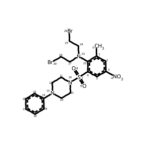 Cc1cc([N+](=O)[O-])cc(S(=O)(=O)N2CCN(c3ccccc3)CC2)c1N(CCBr)CCBr